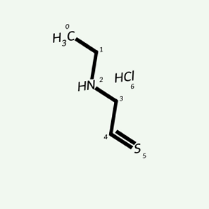 CCNCC=S.Cl